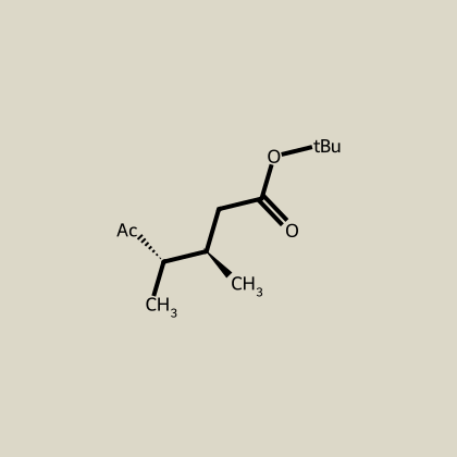 CC(=O)[C@@H](C)[C@H](C)CC(=O)OC(C)(C)C